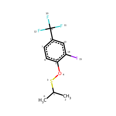 CC(C)SOc1ccc(C(F)(F)F)cc1I